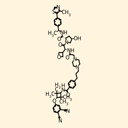 Cc1ncsc1-c1ccc([C@H](C)NC(=O)[C@@H]2C[C@@H](O)CN2C(=O)[C@H](NC(=O)CN2CCN(CCCc3ccc(C(=O)NC4C(C)(C)C(Oc5ccc(C#N)c(C#N)c5)C4(C)C)cc3)CC2)C2COC2)cc1